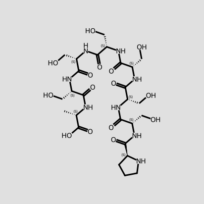 C[C@H](NC(=O)[C@H](CO)NC(=O)[C@H](CO)NC(=O)[C@H](CO)NC(=O)[C@H](CO)NC(=O)[C@H](CO)NC(=O)[C@H](CO)NC(=O)[C@@H]1CCCN1)C(=O)O